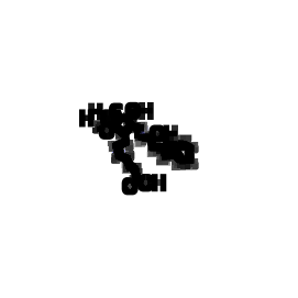 CC1(C)C(=O)[C@H](C/C=C\CCCC(=O)O)C(/C=C/C(O)Cc2cc3ccccc3s2)[C@@H]1O